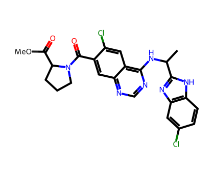 COC(=O)C1CCCN1C(=O)c1cc2ncnc(NC(C)c3nc4cc(Cl)ccc4[nH]3)c2cc1Cl